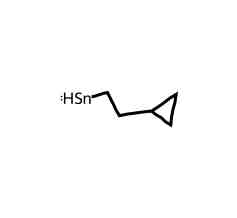 [SnH][CH2]CC1CC1